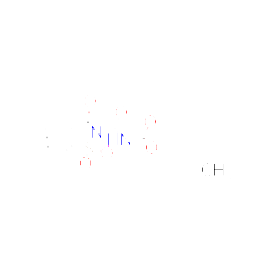 CCCCOC(=O)NC(=O)N1C(=O)c2ccccc2S1(=O)=O